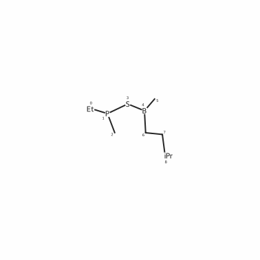 CCP(C)SB(C)CCC(C)C